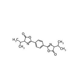 CC(C)C1N=C(c2ccc(C3=NC(C(C)C)C(=O)O3)cc2)OC1=O